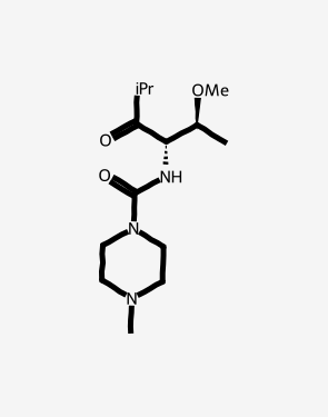 CO[C@@H](C)[C@H](NC(=O)N1CCN(C)CC1)C(=O)C(C)C